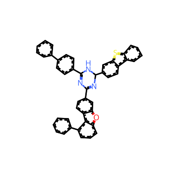 c1ccc(-c2ccc(C3=NC(c4ccc5c(c4)oc4cccc(-c6ccccc6)c45)=NC(c4ccc5c(c4)sc4ccccc45)N3)cc2)cc1